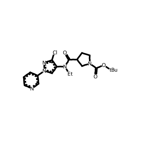 CCN(C(=O)C1CCN(C(=O)OC(C)(C)C)C1)c1cn(-c2cccnc2)nc1Cl